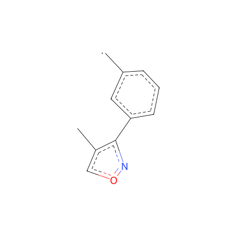 [CH2]c1cccc(-c2nocc2C)c1